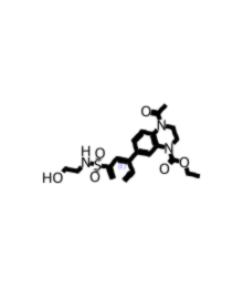 C=C/C(=C\C(=C)S(=O)(=O)NCCO)c1ccc2c(c1)N(C(=O)OCC)CCN2C(C)=O